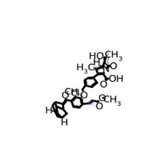 COC(=O)/C=C/c1ccc(C(OC)=C2C3C[C@H]4CC2C[C@@H](C3)C4)c(Cl)c1OCc1ccc(C2=C(C(=O)O)N3C(=O)[C@H]([C@@H](C)O)[C@H]3[C@H]2C)cc1